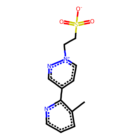 Cc1cccnc1-c1cc[n+](CCS(=O)(=O)[O-])nc1